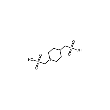 O=S(=O)(O)CN1CCN(CS(=O)(=O)O)CC1